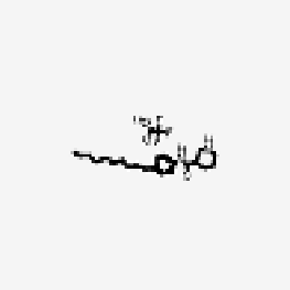 CCCCCCCCCCc1ccc(NC(=O)C2CCCNC2)cc1.O=C(O)C(F)(F)F